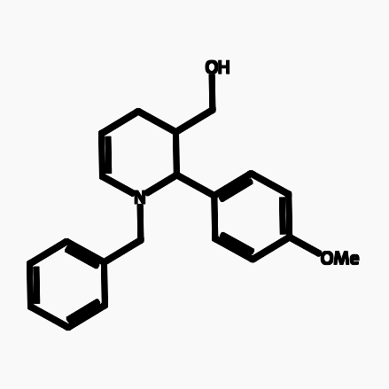 COc1ccc(C2C(CO)CC=CN2Cc2ccccc2)cc1